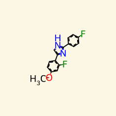 COc1ccc(-c2c[nH]c(-c3ccc(F)cc3)n2)c(F)c1